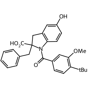 COc1cc(C(=O)N2c3ccc(O)cc3CC2(Cc2ccccc2)C(=O)O)ccc1C(C)(C)C